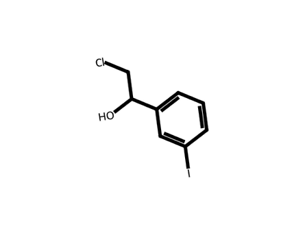 OC(CCl)c1cccc(I)c1